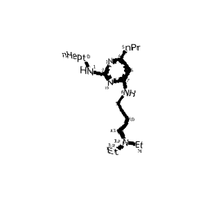 CCCCCCCNc1nc(CCC)cc(NCCCN(CC)CC)n1